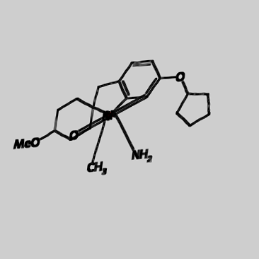 COC1CCC2(CC1)Cc1ccc(OC3CCCC3)cc1C21N=C(N)N(C)C1=O